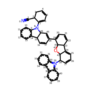 N#CC1CC=CC=C1N1c2ccccc2C2C=CC(C3=CC=CC4C5=CC=CC(n6c7ccccc7c7ccccc76)C5OC34)=CC21